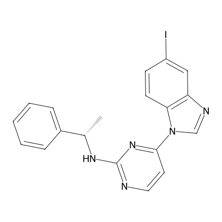 C[C@H](Nc1nccc(-n2cnc3cc(I)ccc32)n1)c1ccccc1